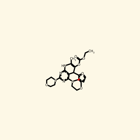 CCOC(=O)OC1=C(C)Nc2nc(N3CCOCC3)nc(N3CCOCC3)c2C1c1ccco1